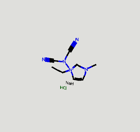 CC[N+]1(N(C#N)C#N)C=CN(C)C1.Cl.[NaH]